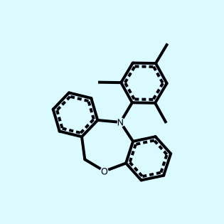 Cc1cc(C)c(N2c3ccccc3COc3ccccc32)c(C)c1